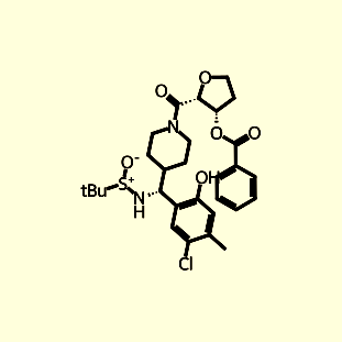 Cc1cc(O)c([C@H](N[S+]([O-])C(C)(C)C)C2CCN(C(=O)[C@@H]3OCC[C@@H]3OC(=O)c3ccccc3)CC2)cc1Cl